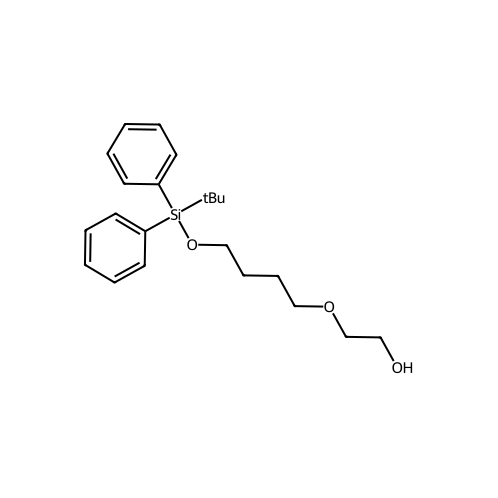 CC(C)(C)[Si](OCCCCOCCO)(c1ccccc1)c1ccccc1